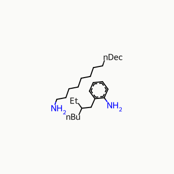 CCCCC(CC)Cc1ccccc1N.CCCCCCCCCCCCCCCCCCN